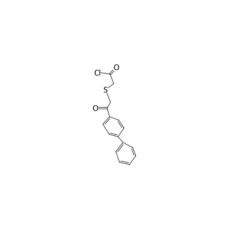 O=C(Cl)CSCC(=O)c1ccc(-c2ccccc2)cc1